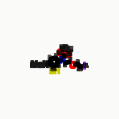 CNc1ccc(N(CCOCCI)C(=O)OC(C)(C)C)cc1S